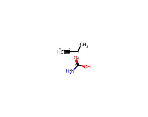 C#CCC.NC(=O)O